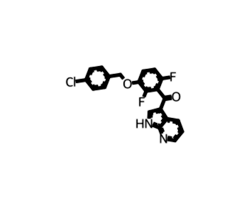 O=C(c1c(F)ccc(OCc2ccc(Cl)cc2)c1F)c1c[nH]c2ncccc12